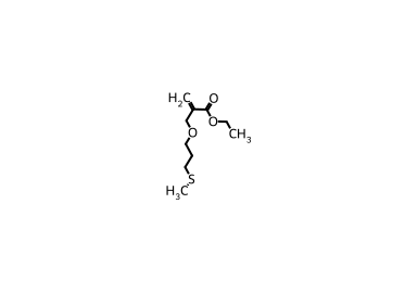 C=C(COCCCSC)C(=O)OCC